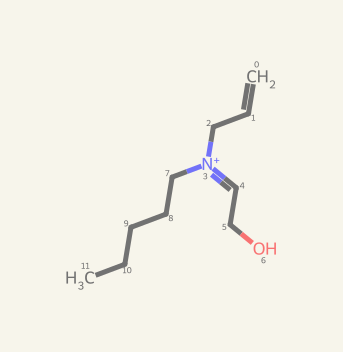 C=CC[N+](=CCO)CCCCC